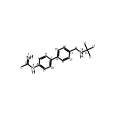 CC(=N)Nc1ccc(-c2ccc(CNC(C)(C)C)cc2)cc1